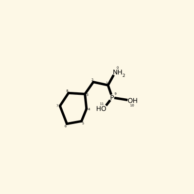 NC(CC1CCCCC1)P(O)O